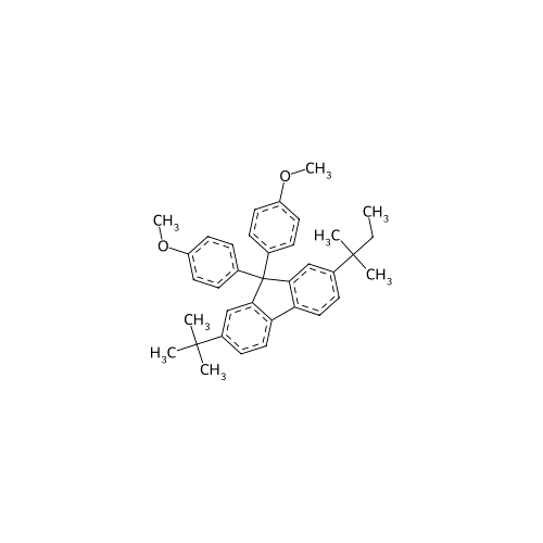 CCC(C)(C)c1ccc2c(c1)C(c1ccc(OC)cc1)(c1ccc(OC)cc1)c1cc(C(C)(C)C)ccc1-2